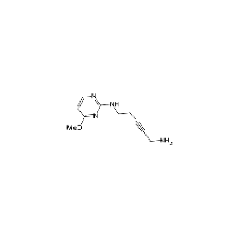 COc1ccnc(NCCC#CCN)n1